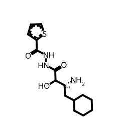 N[C@H](CC1CCCCC1)C(O)C(=O)NNC(=O)c1cccs1